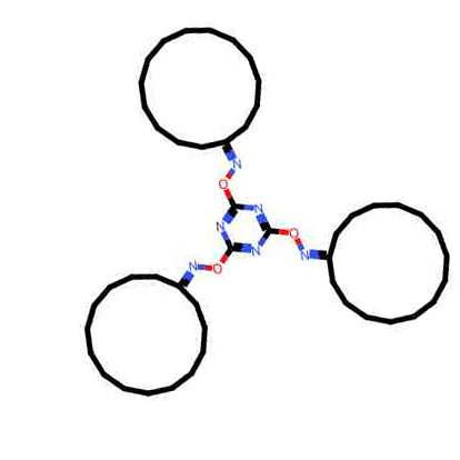 C1CCCCCCCC(=NOc2nc(ON=C3CCCCCCCCCCCCCC3)nc(ON=C3CCCCCCCCCCCCCC3)n2)CCCCCC1